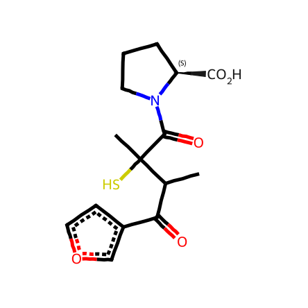 CC(C(=O)c1ccoc1)C(C)(S)C(=O)N1CCC[C@H]1C(=O)O